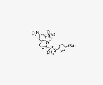 CCS(=O)(=O)c1cc([N+](=O)[O-])cc(Cl)c1OC(=O)N(C)SSc1ccc(C(C)(C)C)cc1